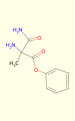 CC(N)(C(N)=O)C(=O)Oc1ccccc1